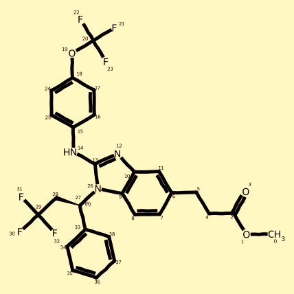 COC(=O)CCc1ccc2c(c1)nc(Nc1ccc(OC(F)(F)F)cc1)n2[C@H](CC(F)(F)F)c1ccccc1